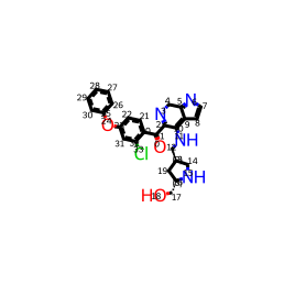 O=C(C1=NCC2=NC=CC2=C1NC[C@H]1CN[C@H](CO)C1)c1ccc(Oc2ccccc2)cc1Cl